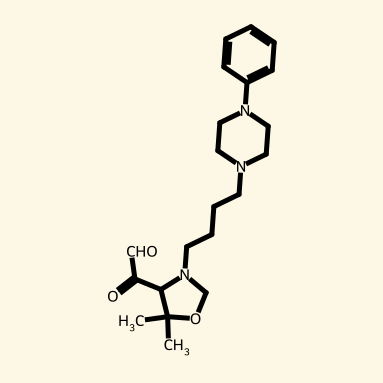 CC1(C)OCN(CCCCN2CCN(c3ccccc3)CC2)C1C(=O)C=O